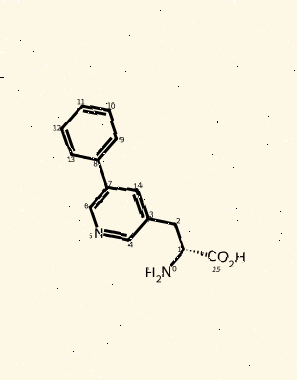 N[C@H](Cc1cncc(-c2ccccc2)c1)C(=O)O